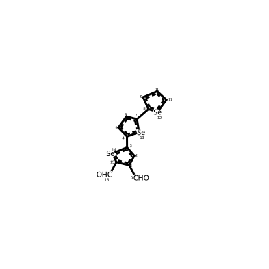 O=Cc1cc(-c2ccc(-c3ccc[se]3)[se]2)[se]c1C=O